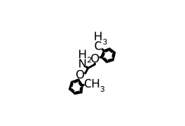 Cc1ccccc1OCC(N)COc1ccccc1C